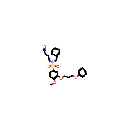 COc1ccc(S(=O)(=O)N(CCCC#N)Cc2ccccc2)cc1OCCCOc1ccccc1